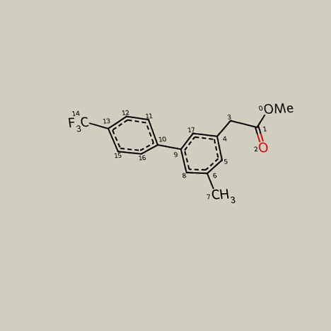 COC(=O)Cc1cc(C)cc(-c2ccc(C(F)(F)F)cc2)c1